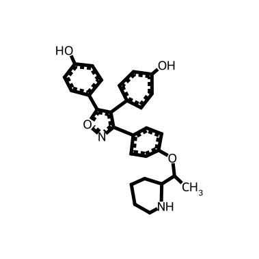 CC(Oc1ccc(-c2noc(-c3ccc(O)cc3)c2-c2ccc(O)cc2)cc1)C1CCCCN1